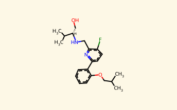 CC(C)COc1ccccc1-c1ccc(F)c(CN[C@@H](CO)C(C)C)n1